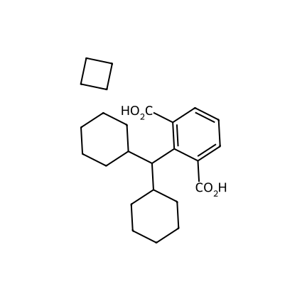 C1CCC1.O=C(O)c1cccc(C(=O)O)c1C(C1CCCCC1)C1CCCCC1